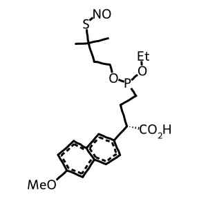 CCOP(CC[C@H](C(=O)O)c1ccc2cc(OC)ccc2c1)OCCC(C)(C)SN=O